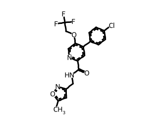 Cc1cc(CNC(=O)c2cc(-c3ccc(Cl)cc3)c(OCC(F)(F)F)cn2)no1